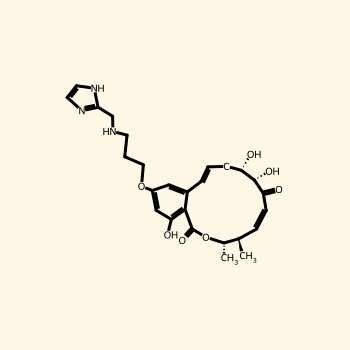 C[C@@H]1/C=C\C(=O)[C@@H](O)[C@@H](O)C/C=C/c2cc(OCCCNCc3ncc[nH]3)cc(O)c2C(=O)O[C@H]1C